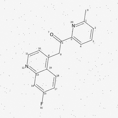 Cc1cccc(C(=O)Cc2ccnc3cc(F)ccc23)n1